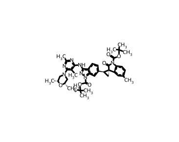 Cc1ccc2c(c1)[C@]1(C[C@H]1c1ccc3c(Nc4nc(C)nc(N5C[C@@H](C)O[C@@H](C)C5)c4C)nn(C(=O)OC(C)(C)C)c3c1)C(=O)N2C(=O)OC(C)(C)C